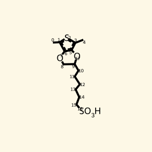 Cc1sc(C)c2c1OCC(CCCCCCS(=O)(=O)O)O2